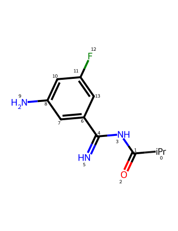 CC(C)C(=O)NC(=N)c1cc(N)cc(F)c1